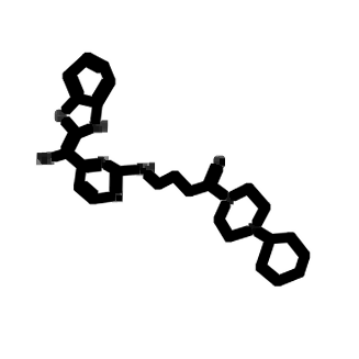 N#CC(=C1Nc2ccccc2O1)c1ccnc(NCCCC(=O)N2CCN(C3CCCCC3)CC2)n1